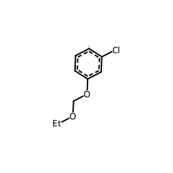 CCOCOc1cc[c]c(Cl)c1